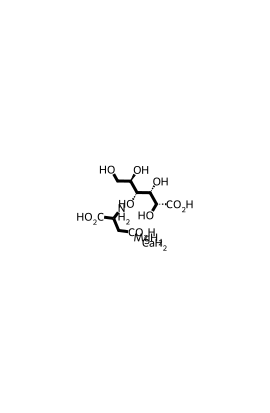 NC(CC(=O)O)C(=O)O.O=C(O)[C@H](O)[C@@H](O)[C@H](O)[C@H](O)CO.[CaH2].[MgH2]